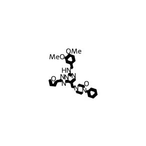 COc1ccc(CNc2ncc(CN3CCN(c4ccccc4)C(=O)C3)c3nc(-c4ccco4)nn23)cc1OC